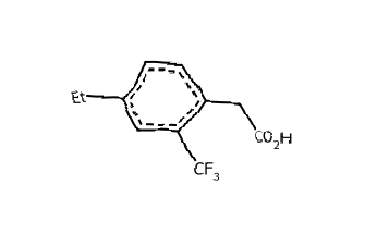 CCc1ccc(CC(=O)O)c(C(F)(F)F)c1